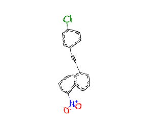 O=[N+]([O-])c1cccc2c(C#Cc3ccc(Cl)cc3)cccc12